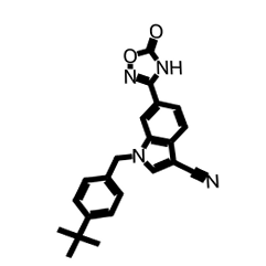 CC(C)(C)c1ccc(Cn2cc(C#N)c3ccc(-c4noc(=O)[nH]4)cc32)cc1